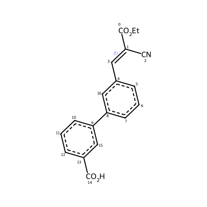 CCOC(=O)/C(C#N)=C/c1cccc(-c2cccc(C(=O)O)c2)c1